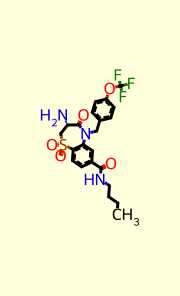 CCCCNC(=O)c1ccc2c(c1)N(Cc1ccc(OC(F)(F)F)cc1)C(=O)[C@@H](N)CS2(=O)=O